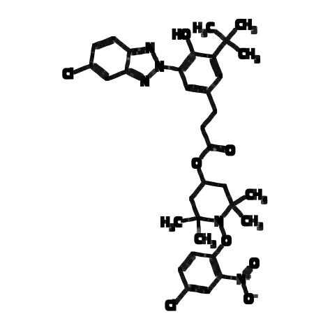 CC(C)(C)c1cc(CCC(=O)OC2CC(C)(C)N(Oc3ccc(Cl)cc3[N+](=O)[O-])C(C)(C)C2)cc(-n2nc3ccc(Cl)cc3n2)c1O